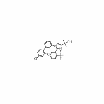 CC(C)(O)c1cn(-c2cccc(-c3ccc(Cl)cc3Cl)c2)c(-c2ccccc2C(F)(F)F)n1